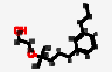 CCCc1cccc(CCCC(C)(C)OCCO)c1